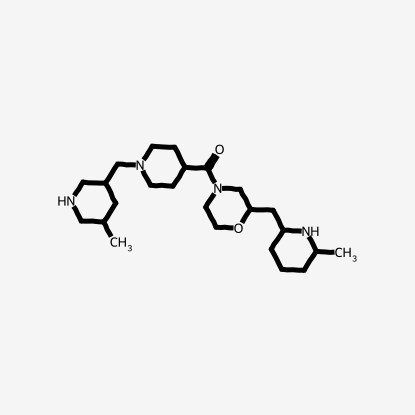 CC1CNCC(CN2CCC(C(=O)N3CCOC(CC4CCCC(C)N4)C3)CC2)C1